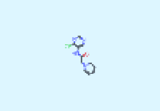 O=C(CN1C=CC=CC1)Nc1cncnc1Cl